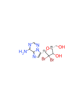 Nc1ncnn2c([C@@H]3O[C@H](CO)C(O)C3(Br)Br)cnc12